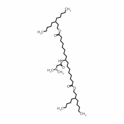 CCCCCC(CCCCC)CCOC(=O)CCCCCCCC(CCCCCCCC(=O)OCCC(CCCCC)CCCCC)NC(=O)CN(C)C